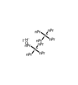 CCC[N+](CCC)(CCC)CCC.CCC[N+](CCC)(CCC)CCC.[I-].[OH-]